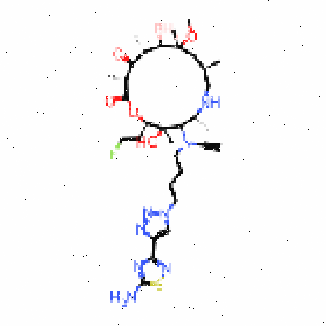 B[C@@H]1[C@@H](C)C(=O)[C@@H](C)C(=O)O[C@H](CCF)[C@@](C)(O)[C@H](N(C#C)CCCCn2cc(-c3nsc(N)n3)nn2)[C@@H](C)NC[C@H](C)C[C@@]1(C)OC